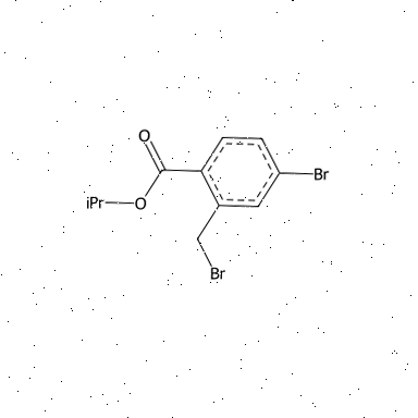 CC(C)OC(=O)c1ccc(Br)cc1CBr